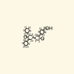 O=C1C=CC(=C2C=C(c3ccccc3)C(=O)C(c3ccccc3)=C2)C=C1c1ccc(CO)cc1